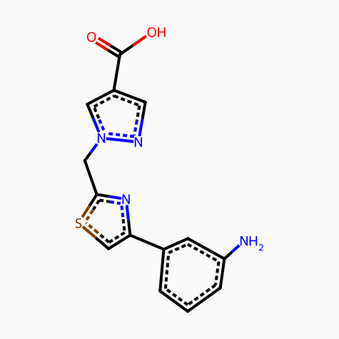 Nc1cccc(-c2csc(Cn3cc(C(=O)O)cn3)n2)c1